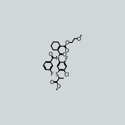 COCCOC(=O)C1=C(C(=O)N(C(=O)c2cccc(F)c2)c2cc(SC(C)C(=O)OC)c(Cl)cc2F)CCCC1